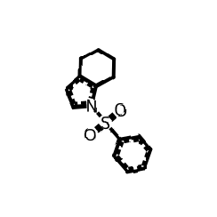 O=S(=O)(c1ccccc1)n1ccc2c1CCCC2